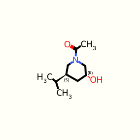 CC(=O)N1C[C@H](O)C[C@@H](C(C)C)C1